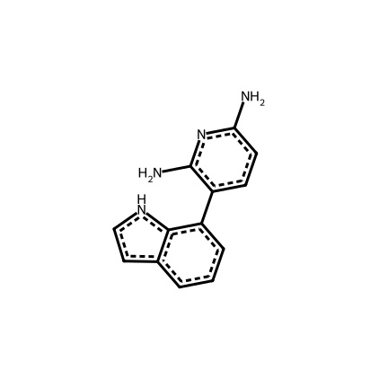 Nc1ccc(-c2cccc3cc[nH]c23)c(N)n1